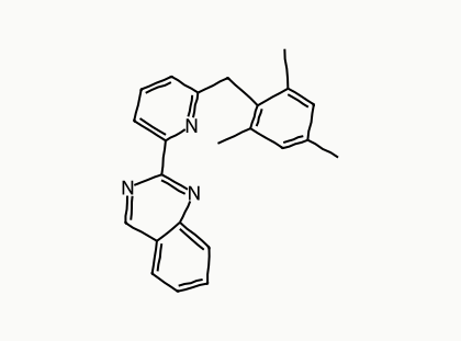 Cc1cc(C)c(Cc2cccc(-c3ncc4ccccc4n3)n2)c(C)c1